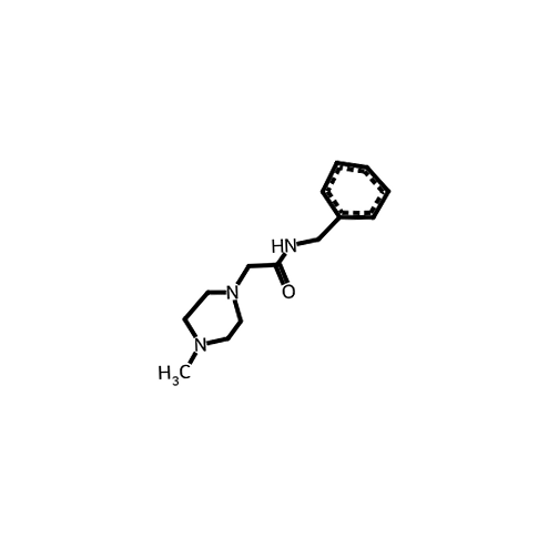 CN1CCN(CC(=O)NCc2ccccc2)CC1